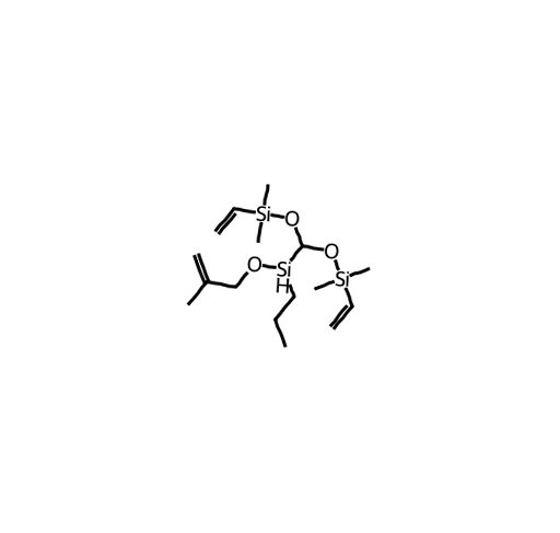 C=C[Si](C)(C)OC(O[Si](C)(C)C=C)[SiH](CCC)OCC(=C)C